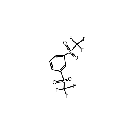 O=S(=O)(c1cccc(S(=O)(=O)C(F)(F)F)c1)C(F)(F)F